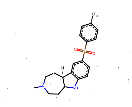 CN1CCC2Nc3ccc(S(=O)(=O)c4ccc(C(F)(F)F)cc4)cc3[C@@H]2CC1